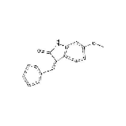 COc1ccc2c(c1)NC(=O)C2=Cc1ccccc1